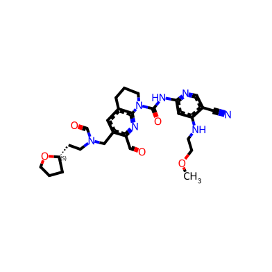 COCCNc1cc(NC(=O)N2CCCc3cc(CN(C=O)CC[C@@H]4CCCO4)c(C=O)nc32)ncc1C#N